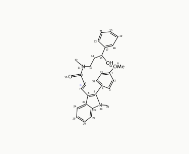 COc1ccc(-c2c(/C=C/C(=O)N(C)CCC(O)c3ccccc3)c3ccccc3n2C)cc1